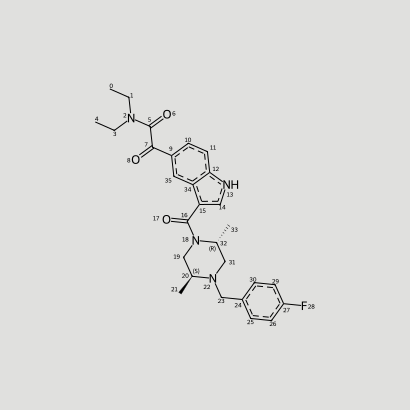 CCN(CC)C(=O)C(=O)c1ccc2[nH]cc(C(=O)N3C[C@H](C)N(Cc4ccc(F)cc4)C[C@H]3C)c2c1